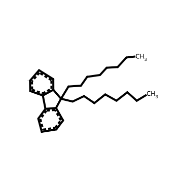 CCCCCCCCC1(CCCCCCCC)c2cc[c]cc2-c2ccccc21